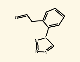 O=CCc1ccccc1-n1cnnn1